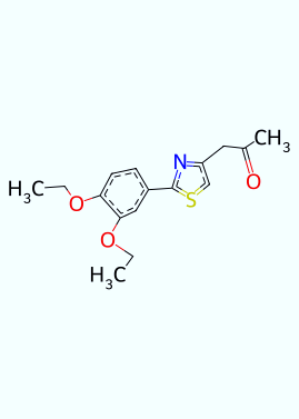 CCOc1ccc(-c2nc(CC(C)=O)cs2)cc1OCC